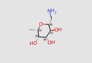 C[C@@H]1O[C@H](CN)[C@@H](O)[C@H](O)[C@@H]1O